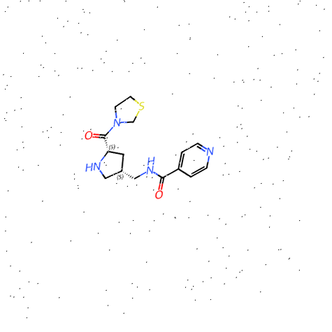 O=C(NC[C@@H]1CN[C@H](C(=O)N2CCSC2)C1)c1ccncc1